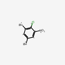 CCC(C)c1cc(C(C)CC)c(Cl)c([N+](=O)[O-])c1